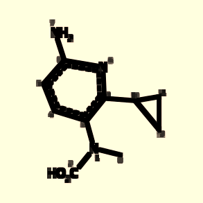 CN(C(=O)O)c1ccc(N)nc1C1CC1